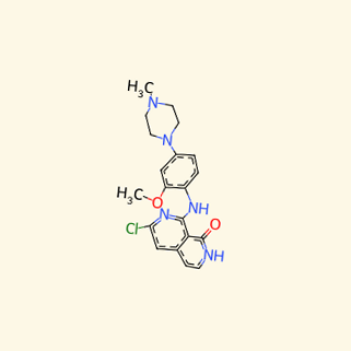 COc1cc(N2CCN(C)CC2)ccc1Nc1nc(Cl)cc2cc[nH]c(=O)c12